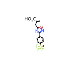 C=C(Cc1nc(-c2ccc(S(=C)(F)(F)F)cc2)no1)C(=O)O